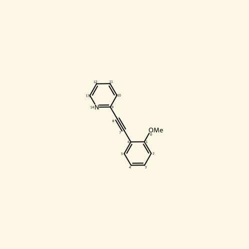 COc1ccccc1C#Cc1ccc[c]n1